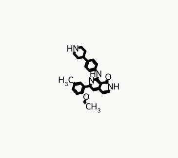 CCOc1ccc(C)cc1-c1cc2cc[nH]c(=O)c2c(Nc2ccc(C3CCNCC3)cc2)n1